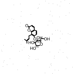 CC(C)=CCc1c(O[C@@]2(O)[C@H](O)[C@@H](O)CO[C@@H]2CO)ccc2ccc(=O)oc12